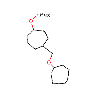 [CH2]CCCCCOC1CCCC(COC2CC[CH]CCC2)CC1